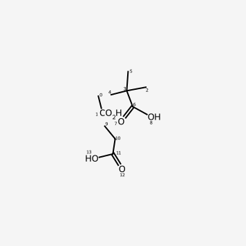 CC(=O)O.CC(C)(C)C(=O)O.CCC(=O)O